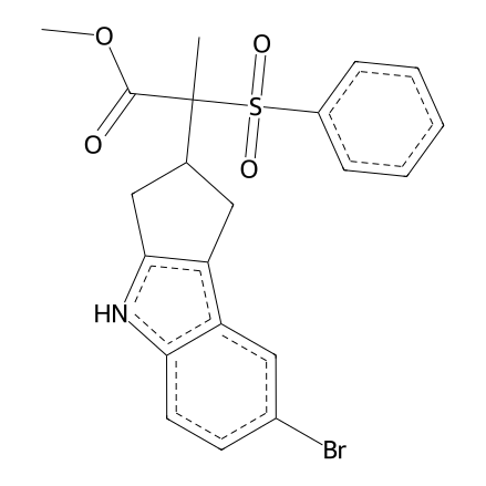 COC(=O)C(C)(C1Cc2[nH]c3ccc(Br)cc3c2C1)S(=O)(=O)c1ccccc1